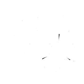 Cc1ccc(-c2ccc(Cc3cc([C@@H]4O[C@H](CO)[C@@H](O)[C@H](O)C4O)ccc3C)s2)cc1